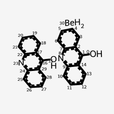 Oc1c2ccccc2nc2ccccc12.Oc1c2ccccc2nc2ccccc12.[BeH2]